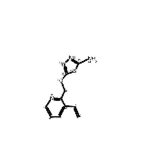 C=Cc1cccnc1COc1nnc(N)s1